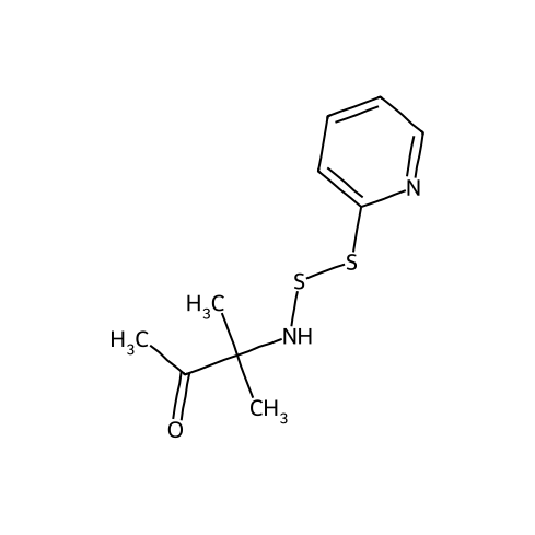 CC(=O)C(C)(C)NSSc1ccccn1